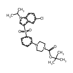 CC(C)n1cc(S(=O)(=O)c2cccc(N3CCN(C(=O)OC(C)(C)C)CC3)c2)c2cc(Cl)ccc21